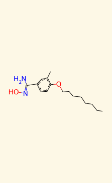 CCCCCCCCOc1ccc(/C(N)=N/O)cc1C